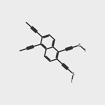 CC#Cc1ccc2c(C#CSI)c(C#CSI)ccc2c1C#CC